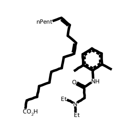 CCCCC/C=C\C/C=C\CCCCCCCC(=O)O.CCN(CC)CC(=O)Nc1c(C)cccc1C